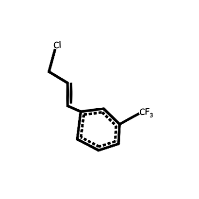 FC(F)(F)c1cccc(C=CCCl)c1